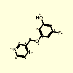 Oc1cc(F)cc(OCc2cnccn2)c1